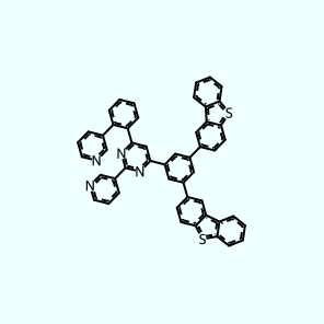 c1cncc(-c2nc(-c3cc(-c4ccc5sc6ccccc6c5c4)cc(-c4ccc5sc6ccccc6c5c4)c3)cc(-c3ccccc3-c3cccnc3)n2)c1